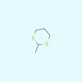 CC1SCCCS1